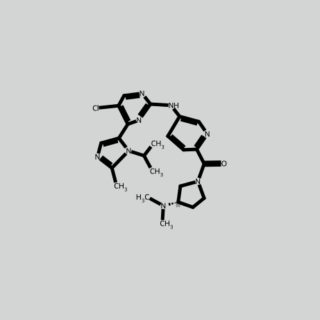 Cc1ncc(-c2nc(Nc3ccc(C(=O)N4CC[C@H](N(C)C)C4)nc3)ncc2Cl)n1C(C)C